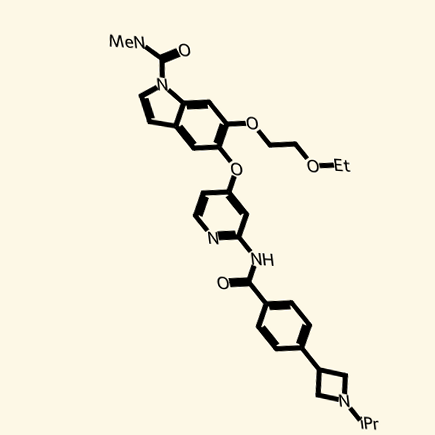 CCOCCOc1cc2c(ccn2C(=O)NC)cc1Oc1ccnc(NC(=O)c2ccc(C3CN(C(C)C)C3)cc2)c1